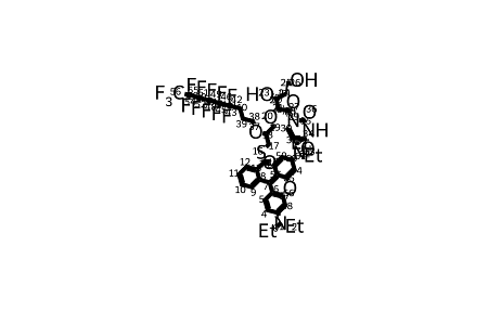 CCN(CC)c1ccc2c(-c3ccccc3C(=O)SCC(CO[C@H]3[C@@H](O)[C@@H](CO)O[C@H]3n3ccc(=O)[nH]c3=O)OCCCC(F)(F)C(F)(F)C(F)(F)C(F)(F)C(F)(F)C(F)(F)F)c3ccc(=[N+](CC)CC)cc-3oc2c1